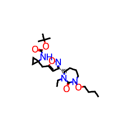 CCCCON1CCC[C@@H](c2cc(CC3(NC(=O)OC(C)(C)C)CC3)on2)N(CC)C1=O